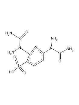 NC(=O)N(N)c1ccc(S(=O)(=O)O)c(N(N)C(N)=O)c1